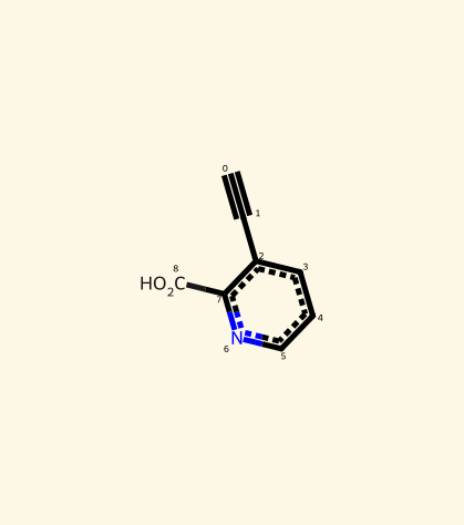 C#Cc1cccnc1C(=O)O